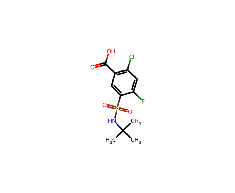 CC(C)(C)NS(=O)(=O)c1cc(C(=O)O)c(Cl)cc1F